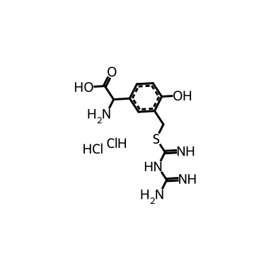 Cl.Cl.N=C(N)NC(=N)SCc1cc(C(N)C(=O)O)ccc1O